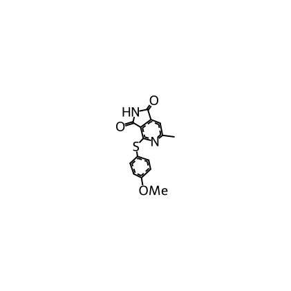 COc1ccc(Sc2nc(C)cc3c2C(=O)NC3=O)cc1